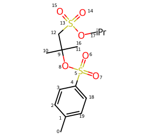 Cc1ccc(S(=O)(=O)OC(C)(C)CS(=O)(=O)OC(C)C)cc1